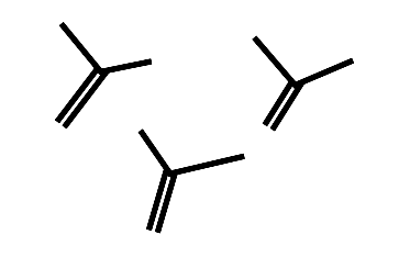 C=C(C)C.C=C(C)C.C=C(C)C